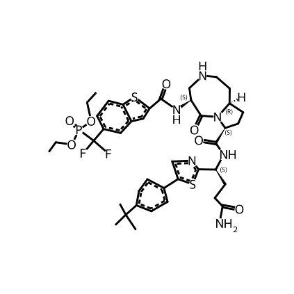 CCOP(=O)(OCC)C(F)(F)c1ccc2sc(C(=O)N[C@H]3CNCC[C@H]4CC[C@@H](C(=O)N[C@@H](CCC(N)=O)c5ncc(-c6ccc(C(C)(C)C)cc6)s5)N4C3=O)cc2c1